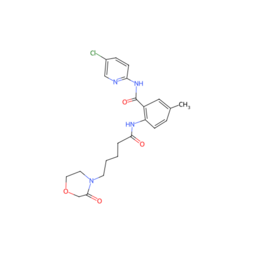 Cc1ccc(NC(=O)CCCCN2CCOCC2=O)c(C(=O)Nc2ccc(Cl)cn2)c1